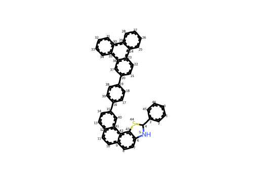 c1ccc(C2Nc3ccc4ccc5ccc(-c6ccc(-c7ccc8c9ccccc9c9ccccc9c8c7)cc6)cc5c4c3S2)cc1